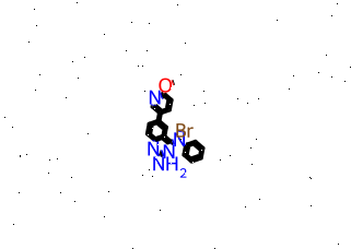 COc1ccc(-c2ccc3nc(N)nc(N(Br)c4ccccc4)c3c2)cn1